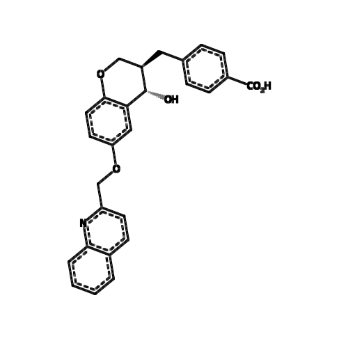 O=C(O)c1ccc(C[C@@H]2COc3ccc(OCc4ccc5ccccc5n4)cc3[C@H]2O)cc1